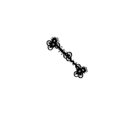 O=C(OCCCCCCOC1=CC(=O)C(=O)c2ccccc21)OCCCCCCOC1=CC(=O)C(=O)c2ccccc21